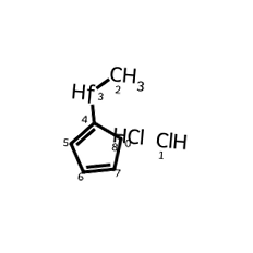 Cl.Cl.[CH3][Hf][C]1=CC=CC1